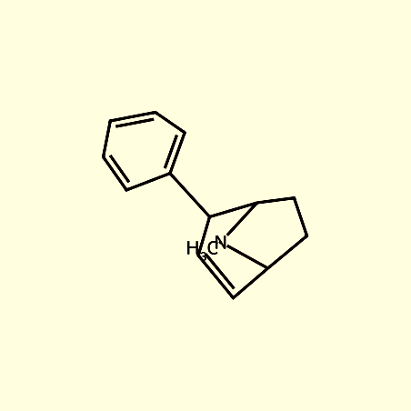 CN1C2C=CC(c3ccccc3)C1CC2